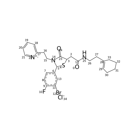 O=C(CC1SC(c2ccc(F)c(Br)c2)N(CCC2=CC=CC=[N+]2)C1=O)NCCC1=CCCCC1.[Cl-]